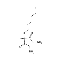 CCCCCCOC(C)(C(=O)CN)C(=O)CN